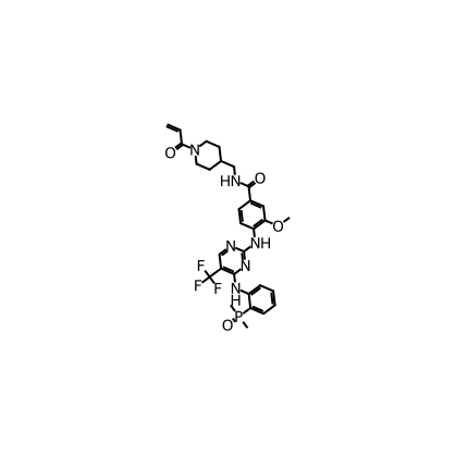 C=CC(=O)N1CCC(CNC(=O)c2ccc(Nc3ncc(C(F)(F)F)c(Nc4ccccc4P(C)(C)=O)n3)c(OC)c2)CC1